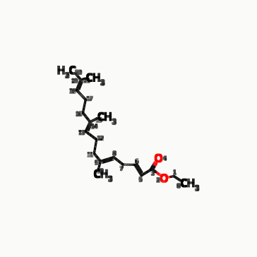 CCOC(=O)/C=C/C/C=C(\C)CC/C=C(\C)CCC=C(C)C